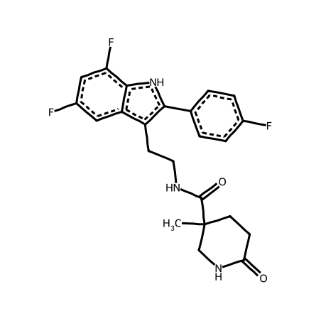 CC1(C(=O)NCCc2c(-c3ccc(F)cc3)[nH]c3c(F)cc(F)cc23)CCC(=O)NC1